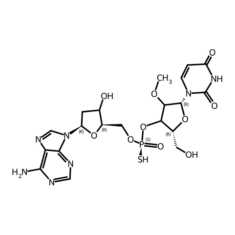 COC1C(O[P@@](=O)(S)OC[C@H]2O[C@@H](n3cnc4c(N)ncnc43)CC2O)[C@@H](CO)O[C@H]1n1ccc(=O)[nH]c1=O